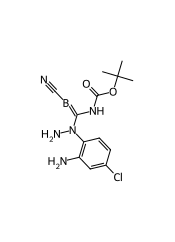 CC(C)(C)OC(=O)NC(=BC#N)N(N)c1ccc(Cl)cc1N